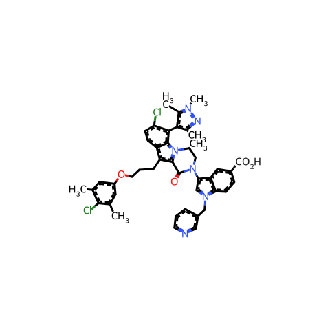 Cc1cc(OCCCc2c3n(c4c(-c5c(C)nn(C)c5C)c(Cl)ccc24)C(C)CN(c2cn(Cc4cccnc4)c4ccc(C(=O)O)cc24)C3=O)cc(C)c1Cl